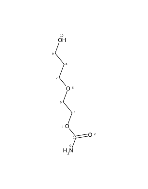 NC(=O)OCCOCCCO